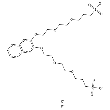 O=S(=O)([O-])CCCOCCOCCOc1cc2ccccc2cc1OCCOCCOCCCS(=O)(=O)[O-].[K+].[K+]